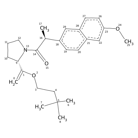 C=C(OCCC(C)(C)C)[C@@H]1CCCN1C(=O)[C@@H](C)c1ccc2cc(OC)ccc2c1